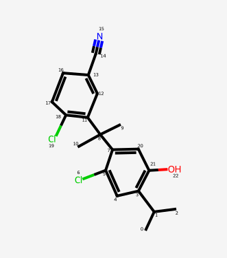 CC(C)c1cc(Cl)c(C(C)(C)c2cc(C#N)ccc2Cl)cc1O